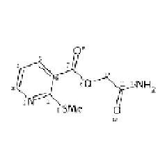 CSc1ncccc1C(=O)OCC(N)=O